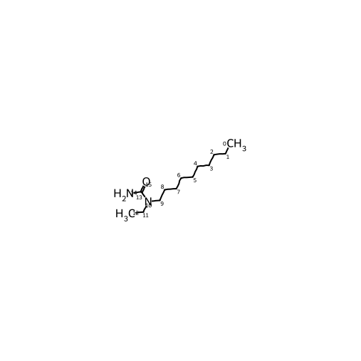 CCCCCCCCCCN(CC)C(N)=O